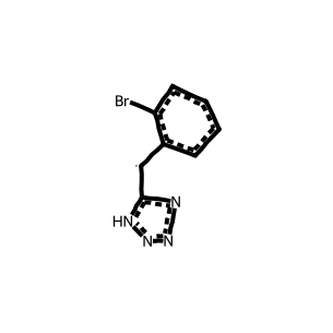 Brc1ccccc1[CH]c1nnn[nH]1